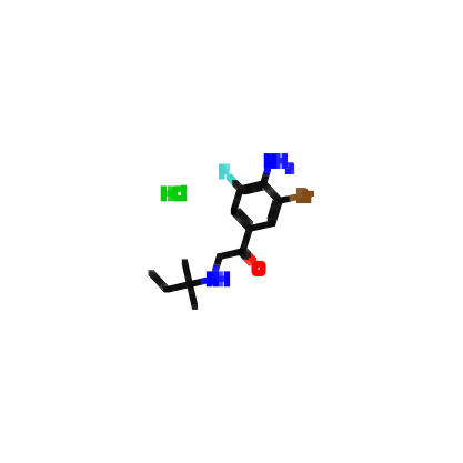 CCC(C)(C)NCC(=O)c1cc(F)c(N)c(Br)c1.Cl